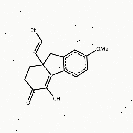 CCC=CC12CCC(=O)C(C)=C1c1ccc(OC)cc1C2